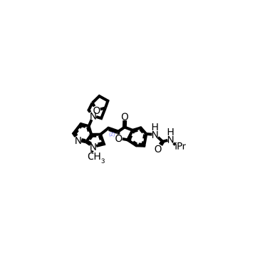 CC(C)NC(=O)Nc1ccc2c(c1)C(=O)/C(=C/c1cn(C)c3nccc(N4CC5CCC(C4)O5)c13)O2